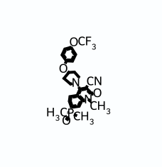 Cn1c(=O)c(C#N)c(N2CCC(Oc3ccc(OC(F)(F)F)cc3)CC2)c2ccc(P(C)(C)=O)cc21